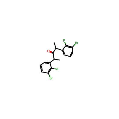 CC(C(=O)C(C)c1cccc(Br)c1F)c1cccc(Br)c1F